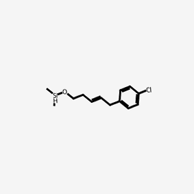 C[SiH](C)OCCC=CCc1ccc(Cl)cc1